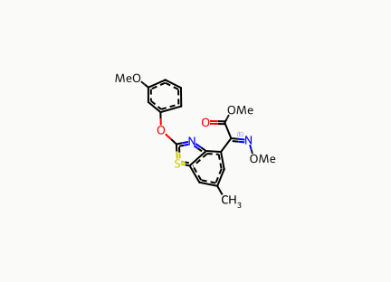 CO/N=C(/C(=O)OC)c1cc(C)cc2sc(Oc3cccc(OC)c3)nc12